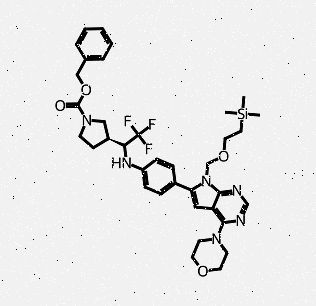 C[Si](C)(C)CCOCn1c(-c2ccc(NC([C@H]3CCN(C(=O)OCc4ccccc4)C3)C(F)(F)F)cc2)cc2c(N3CCOCC3)ncnc21